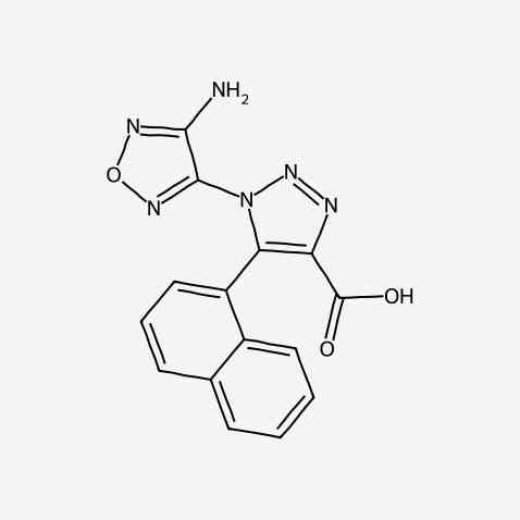 Nc1nonc1-n1nnc(C(=O)O)c1-c1cccc2ccccc12